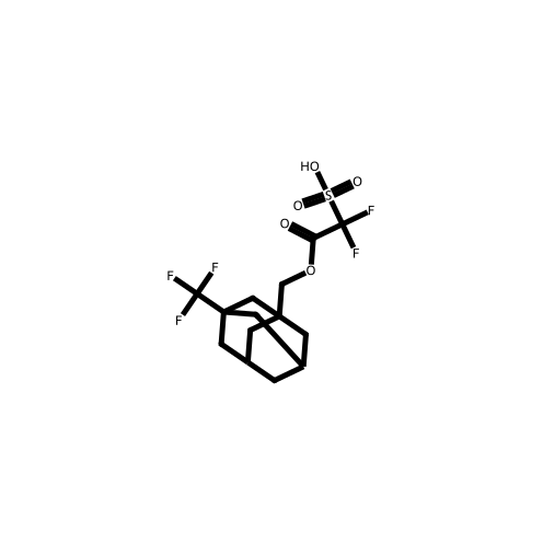 O=C(OCC12CC3CC(C1)CC(C(F)(F)F)(C3)C2)C(F)(F)S(=O)(=O)O